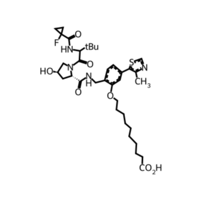 Cc1ncsc1-c1ccc(CNC(=O)[C@@H]2C[C@@H](O)CN2C(=O)C(NC(=O)C2(F)CC2)C(C)(C)C)c(OCCCCCCCCCC(=O)O)c1